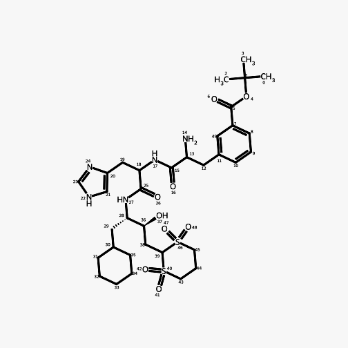 CC(C)(C)OC(=O)c1cccc(CC(N)C(=O)NC(Cc2c[nH]cn2)C(=O)N[C@@H](CC2CCCCC2)[C@@H](O)CC2S(=O)(=O)CCCS2(=O)=O)c1